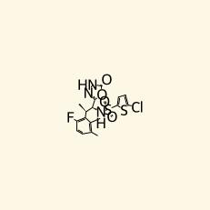 Cc1ccc(F)c([C@@H](C)[C@H](NS(=O)(=O)c2ccc(Cl)s2)c2n[nH]c(=O)o2)c1C